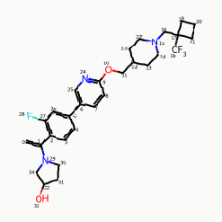 C=C(c1ccc(-c2ccc(OCC3CCN(CC4(C(F)(F)F)CCC4)CC3)nc2)cc1F)N1CCC(O)C1